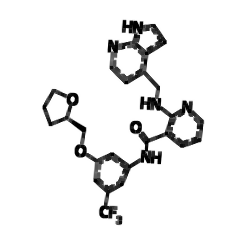 O=C(Nc1cc(OC[C@H]2CCCO2)cc(C(F)(F)F)c1)c1cccnc1NCc1ccnc2[nH]ccc12